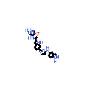 C=C(NC(=C/N)/C(=C\N)OC)c1cc2ccc(-c3nccc(Nc4ccc5[nH]ncc5c4)n3)cc2[nH]1